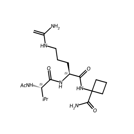 C=C(N)NCCC[C@H](NC(=O)[C@@H](NC(C)=O)C(C)C)C(=O)NC1(C(N)=O)CCC1